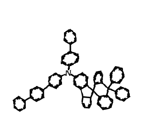 C1=CC2c3cc(N(c4ccc(-c5ccccc5)cc4)c4ccc(-c5ccc(-c6ccccc6)cc5)cc4)ccc3C3(c4ccccc4C(c4ccccc4)(c4ccccc4)c4ccccc43)C2C=C1